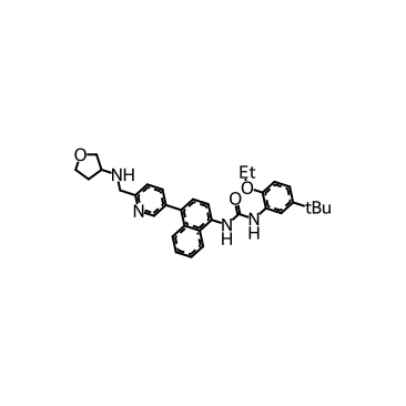 CCOc1ccc(C(C)(C)C)cc1NC(=O)Nc1ccc(-c2ccc(CNC3CCOC3)nc2)c2ccccc12